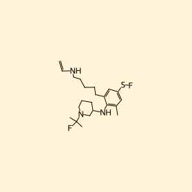 C=CNCCCCCc1cc(SF)cc(C)c1NC1CCCN(C(C)(C)F)C1